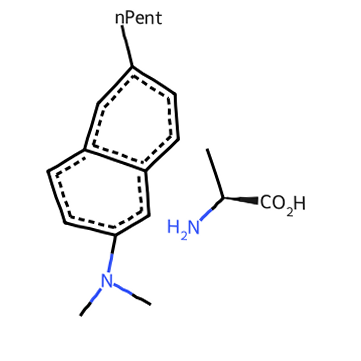 CCCCCc1ccc2cc(N(C)C)ccc2c1.C[C@H](N)C(=O)O